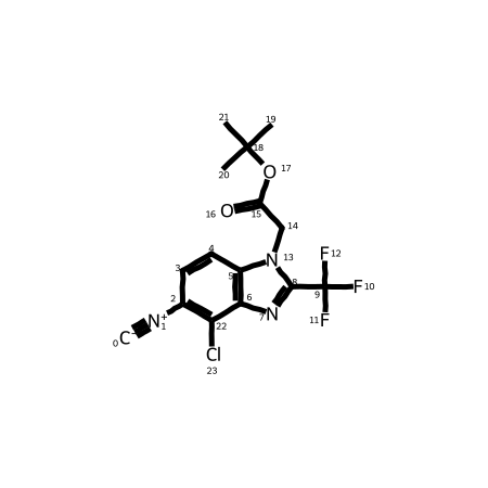 [C-]#[N+]c1ccc2c(nc(C(F)(F)F)n2CC(=O)OC(C)(C)C)c1Cl